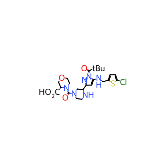 CC(C)(C)C(=O)n1nc(C2CN(C(=O)N3CCOCC3C(=O)O)CCN2)cc1NCc1ccc(Cl)s1